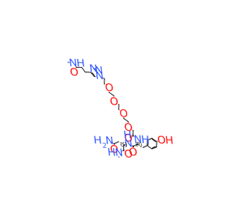 CNC(=O)CCc1cn(CCOCCOCCOCCOCC(=O)N[C@H](Cc2ccc(O)cc2)C(=O)N[C@@H](CC(N)=O)C(=O)NC)nn1